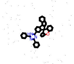 c1ccc(C2=NC(c3ccc4c(c3)C3(c5ccccc5Oc5ccccc53)c3ccc5ccccc5c3-4)NC(c3ccccc3)=N2)cc1